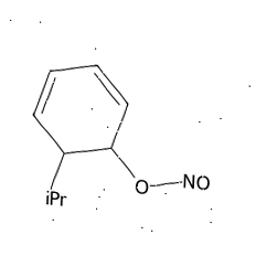 CC(C)C1C=CC=CC1ON=O